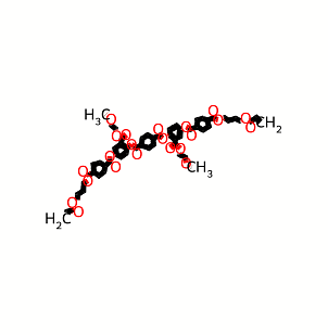 C=CC(=O)OCCCCOC(=O)C1CCC(C(=O)Oc2ccc(OC(=O)C3CCC(C(=O)Oc4ccc(OC(=O)C5CCC(C(=O)OCCCCOC(=O)C=C)CC5)cc4C(=O)OCCOC)CC3)c(C(=O)OCCOC)c2)CC1